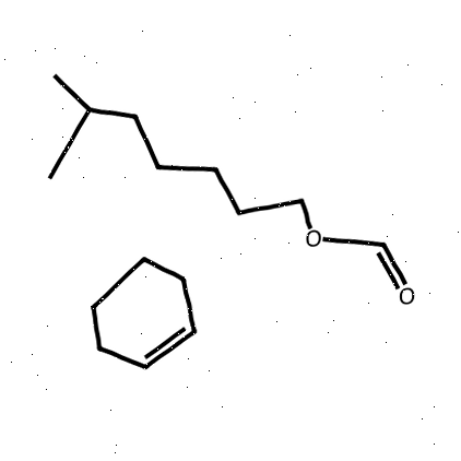 C1=CCCCC1.CC(C)CCCCCOC=O